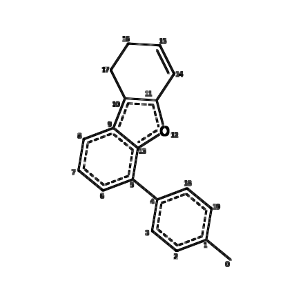 Cc1ccc(-c2cccc3c4c(oc23)C=CCC4)cc1